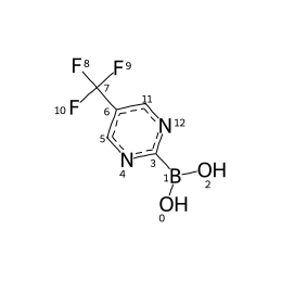 OB(O)c1ncc(C(F)(F)F)cn1